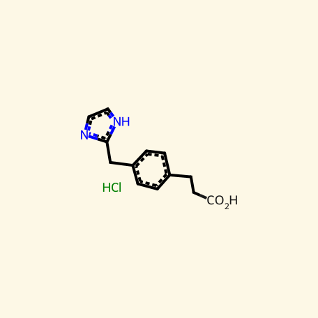 Cl.O=C(O)CCc1ccc(Cc2ncc[nH]2)cc1